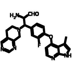 Cc1c[nH]c2nccc(Oc3ccc(C(C(N)C=O)N4CCc5cncnc5C4)cc3F)c12